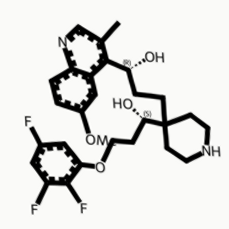 COc1ccc2ncc(C)c([C@H](O)CCC3([C@@H](O)CCOc4cc(F)cc(F)c4F)CCNCC3)c2c1